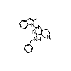 Cc1cc2ccccc2n1-c1nc2c(c(NCc3ccccc3)n1)CN(C)CC2